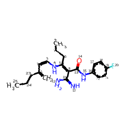 C=C(/C=C\N/C(CCC)=C(\C(=N)N)C(=O)Nc1ccc(F)cc1)CCC